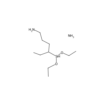 CCO[SiH](OCC)C(CC)CCCN.N